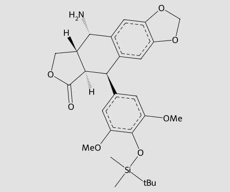 COc1cc([C@@H]2c3cc4c(cc3[C@@H](N)[C@H]3COC(=O)[C@H]23)OCO4)cc(OC)c1O[Si](C)(C)C(C)(C)C